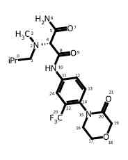 CC(C)CN(C)[C@H](C(N)=O)C(=O)Nc1ccc(N2CCOCC2=O)c(C(F)(F)F)c1